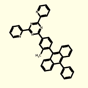 Cc1cc(-c2nc(-c3ccccn3)nc(-c3ccccn3)n2)ccc1-c1c2ccccc2c(-c2ccccc2)c2ccccc12